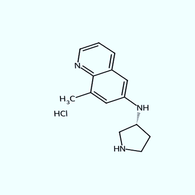 Cc1cc(N[C@@H]2CCNC2)cc2cccnc12.Cl